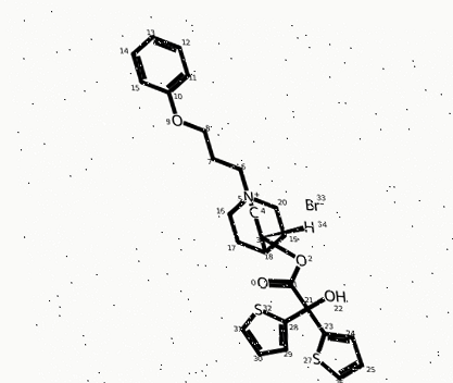 O=C(O[C@H]1C[N+]2(CCCOc3ccccc3)CCC1CC2)C(O)(c1cccs1)c1cccs1.[Br-]